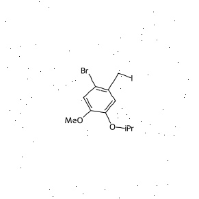 COc1cc(Br)c(CI)cc1OC(C)C